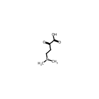 CN(C)CCC(=O)C(=O)O